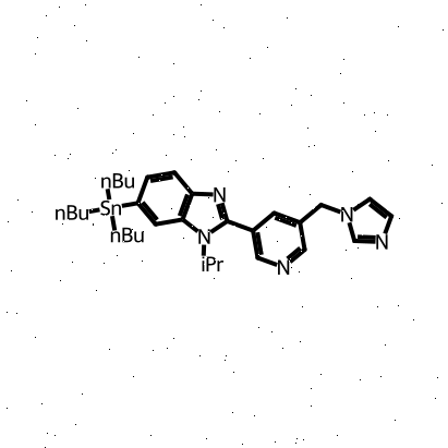 CCC[CH2][Sn]([CH2]CCC)([CH2]CCC)[c]1ccc2nc(-c3cncc(Cn4ccnc4)c3)n(C(C)C)c2c1